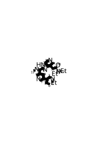 C/C=C(\C=N/CC)c1cncc(/C(=N\C)c2nc3c(CC(=O)N(CC)CC)cncc3[nH]2)c1